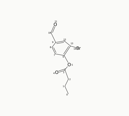 CCCC(=O)Oc1ccc(C=O)cc1Br